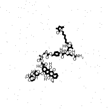 C=C1CC(C)C(=O)N1CCCCCCC(=O)N[C@H](C(=O)N[C@@H](CCCNC(N)=O)C(=O)Nc1ccc(COC(=O)N(C)CCN(C)C(=O)OCC(=O)[C@]2(O)Cc3c(O)c4c(c(O)c3[C@@H](O[C@H]3C[C@H]5[C@H](O[C@@H]6[C@@H](OC)OCCN65)[C@H](C)O3)C2)C(=O)c2c(OC)cccc2C4=O)cc1)C(C)C